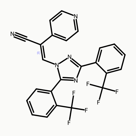 N#C/C(=C/n1nc(-c2ccccc2C(F)(F)F)nc1-c1ccccc1C(F)(F)F)c1ccncc1